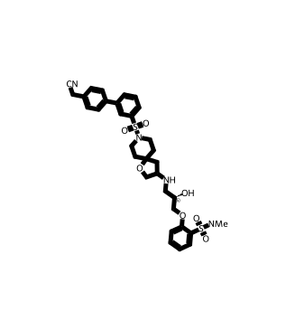 CNS(=O)(=O)c1ccccc1OC[C@@H](O)CNC1COC2(CCN(S(=O)(=O)c3cccc(-c4ccc(CC#N)cc4)c3)CC2)C1